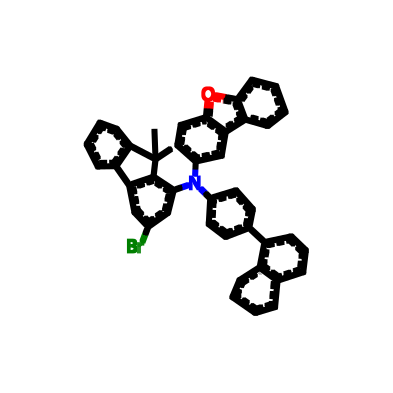 CC1(C)c2ccccc2-c2cc(Br)cc(N(c3ccc(-c4cccc5ccccc45)cc3)c3ccc4oc5ccccc5c4c3)c21